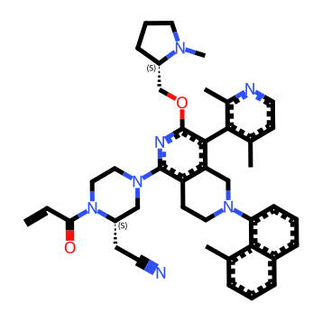 C=CC(=O)N1CCN(c2nc(OC[C@@H]3CCCN3C)c(-c3c(C)ccnc3C)c3c2CCN(c2cccc4cccc(C)c24)C3)C[C@@H]1CC#N